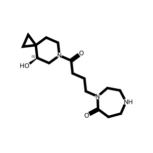 O=C1CCNCCN1CCCC(=O)N1CCC2(CC2)[C@H](O)C1